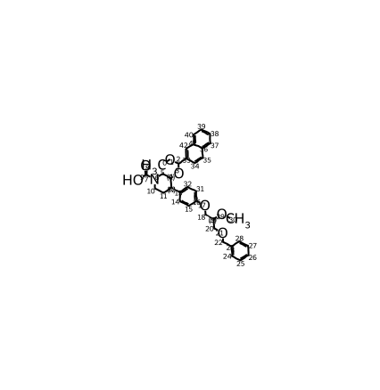 COC(O[C@H]1CN(C(=O)O)CC[C@@H]1c1ccc(OC[C@H](COCc2ccccc2)OC)cc1)c1ccc2ccccc2c1